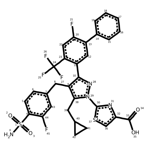 NS(=O)(=O)c1ccc(Cc2c(-c3cc(-c4ccccc4)c(F)cc3C(F)(F)F)nn(-c3nc(C(=O)O)cs3)c2CC2CC2)cc1F